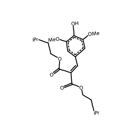 COc1cc(C=C(C(=O)OCCC(C)C)C(=O)OCCC(C)C)cc(OC)c1O